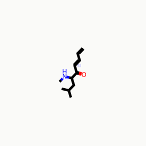 C=C/C=C/C(=O)C(CC(C)C)NC